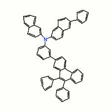 c1ccc(-c2ccc3cc(N(c4cccc(-c5ccc6c(c5)c(-c5ccccc5)c(-c5ccccc5)c5ccccc56)c4)c4ccc5ccccc5c4)ccc3c2)cc1